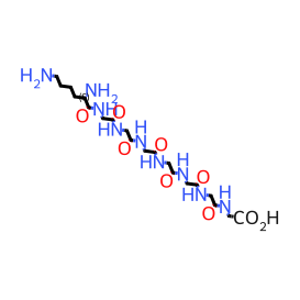 NCCCC[C@H](N)C(=O)NCC(=O)NCC(=O)NCC(=O)NCC(=O)NCC(=O)NCC(=O)NCC(=O)O